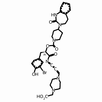 O=C(O)CN1CCN(C=C=C=NC(=O)[C@@H](Cc2ccc(O)c(Br)c2)OC(=O)N2CCC(N3CCc4ccccc4NC3=O)CC2)CC1